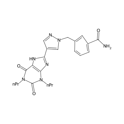 CCCn1c(=O)c2[nH]c(-c3cnn(Cc4cccc(C(N)=O)c4)c3)nc2n(CCC)c1=O